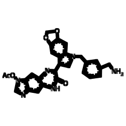 CC(=O)On1cnc2cc3[nH]c(=O)c(-c4cn(Cc5cccc(CN)c5)c5cc6c(cc45)OCO6)nc3cc21